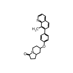 Cc1c(-c2ccc(OC3CCN4C(=O)CCC4C3)cc2)ccc2cccnc12